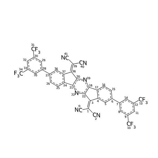 N#CC(C#N)=C1c2cc(-c3cc(C(F)(F)F)cc(C(F)(F)F)c3)ccc2-c2nc3c(nc21)-c1ccc(-c2cc(C(F)(F)F)cc(C(F)(F)F)c2)cc1C3=C(C#N)C#N